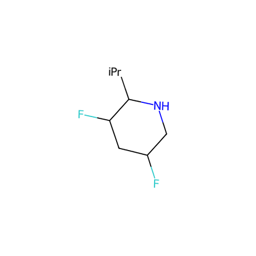 CC(C)C1NCC(F)CC1F